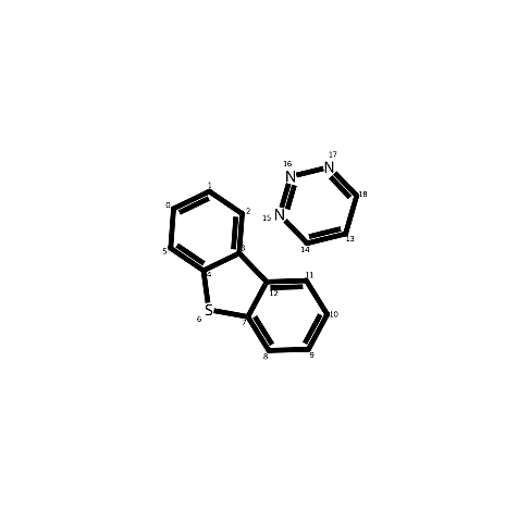 c1ccc2c(c1)sc1ccccc12.c1cnnnc1